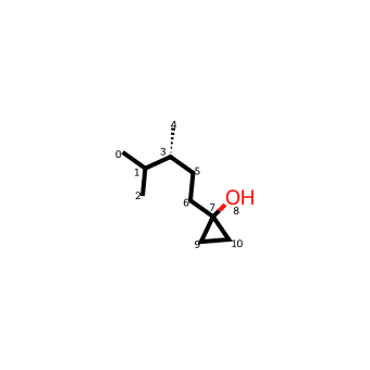 CC(C)[C@H](C)CCC1(O)CC1